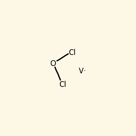 ClOCl.[V]